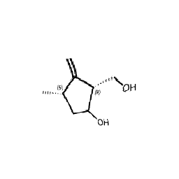 C=C1[C@@H](C)CC(O)[C@H]1CO